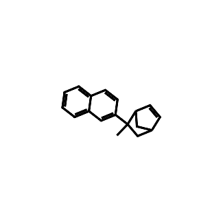 CC1(c2ccc3ccccc3c2)CC2C=CC1C2